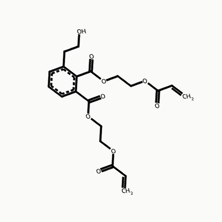 C=CC(=O)OCCOC(=O)c1cccc(CCO)c1C(=O)OCCOC(=O)C=C